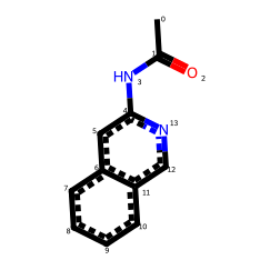 CC(=O)Nc1cc2ccccc2cn1